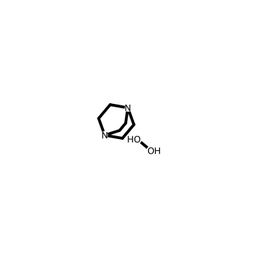 C1CN2CCN1CC2.OO